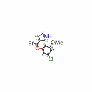 CC[C@H](Oc1cc(Cl)cc(OC)c1)C1CCNC1